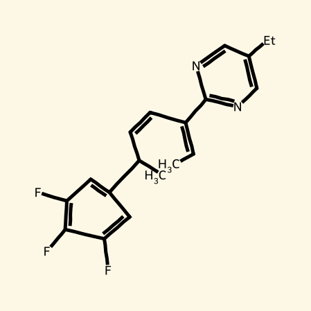 C/C=C(\C=C/C(C)c1cc(F)c(F)c(F)c1)c1ncc(CC)cn1